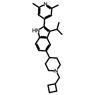 Cc1cc(-c2[nH]c3ccc(C4CCN(CC5CCC5)CC4)cc3c2C(C)C)cc(C)n1